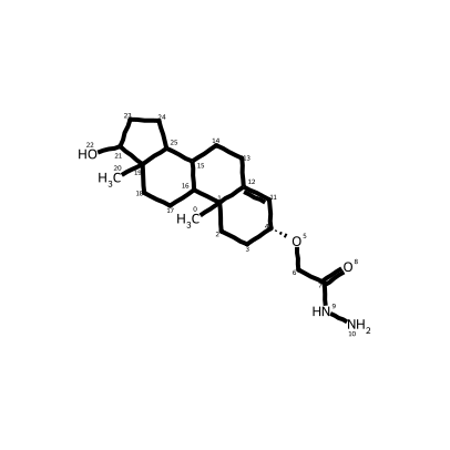 CC12CC[C@@H](OCC(=O)NN)C=C1CCC1C2CCC2(C)C(O)CCC12